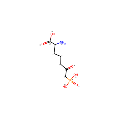 NC(CCCC(=O)CP(=O)(O)O)C(=O)O